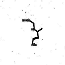 CCCCC=CC(C)NCCCCCCC